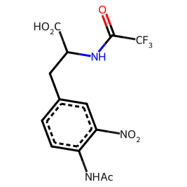 CC(=O)Nc1ccc(CC(NC(=O)C(F)(F)F)C(=O)O)cc1[N+](=O)[O-]